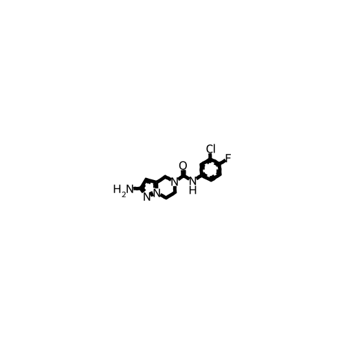 Nc1cc2n(n1)CCN(C(=O)Nc1ccc(F)c(Cl)c1)C2